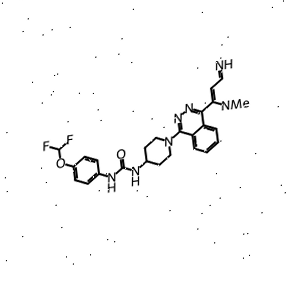 CN/C(=C\C=N)c1nnc(N2CCC(NC(=O)Nc3ccc(OC(F)F)cc3)CC2)c2ccccc12